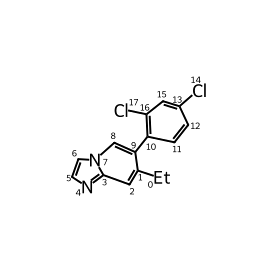 CCc1cc2nccn2cc1-c1ccc(Cl)cc1Cl